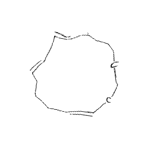 [CH]1/C=C/C=C/CC/C=C/CCCC1